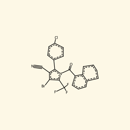 N#Cc1c(Br)c(C(F)(F)F)n(C(=O)c2cccc3ccccc23)c1-c1ccc(Cl)cc1